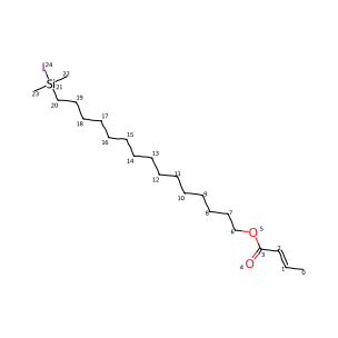 CC=CC(=O)OCCCCCCCCCCCCCCC[Si](C)(C)I